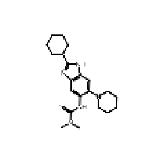 CN(C)C(=S)Nc1cc2nc(C3CCCCC3)[nH]c2cc1N1CCCCC1